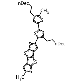 CCCCCCCCCCCCc1cc(-c2cc(CCCCCCCCCCCC)c(-c3cc4c(s3)sc3c5cc(C)sc5sc43)s2)sc1C